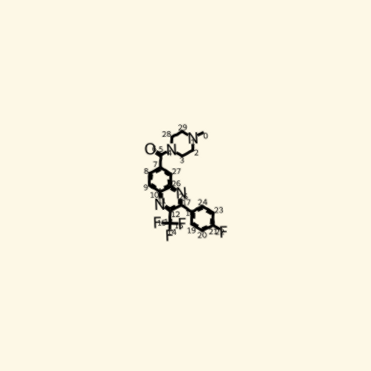 CN1CCN(C(=O)c2ccc3nc(C(F)(F)F)c(-c4ccc(F)cc4)nc3c2)CC1